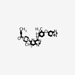 CC#CC(=O)N1CCN(c2ccc3ncnc(Nc4ccc(Oc5ccn6ncnc6c5)c(C)c4)c3n2)[C@@H](C)C1